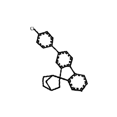 Clc1ccc(-c2ccc3c(c2)C2(CC4CCC2C4)c2ccccc2-3)cc1